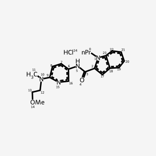 CCCn1c(C(=O)Nc2ccc(N(C)CCOC)nc2)cc2ccccc21.Cl